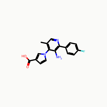 Cc1cnc(-c2ccc(F)cc2)c(N)c1-n1ccc(C(=O)O)c1